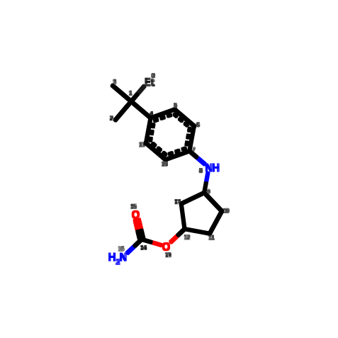 CCC(C)(C)c1ccc(NC2CCC(OC(N)=O)C2)cc1